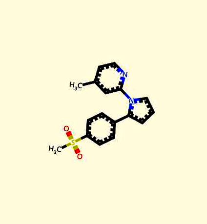 Cc1ccnc(-n2cccc2-c2ccc(S(C)(=O)=O)cc2)c1